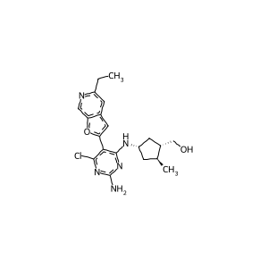 CCc1cc2cc(-c3c(Cl)nc(N)nc3N[C@@H]3C[C@H](CO)[C@@H](C)C3)oc2cn1